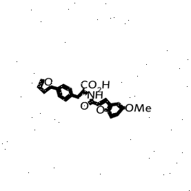 COc1ccc2oc(C(=O)N[C@@H](Cc3ccc(C4CC=CO4)cc3)C(=O)O)cc2c1